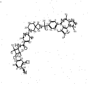 Cc1sc2c(c1C)C(c1ccc(C(C)(C)N3CC4(CCCN(c5ncc(C(=O)NC6C(C)(C)C(Oc7ccc(C#N)c(Cl)c7)C6(C)C)cn5)C4)C3)cc1)=N[C@@H](C)c1nnc(C)n1-2